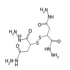 NNC(=O)CC(SSC(CC(=O)NN)C(=O)NN)C(=O)NN